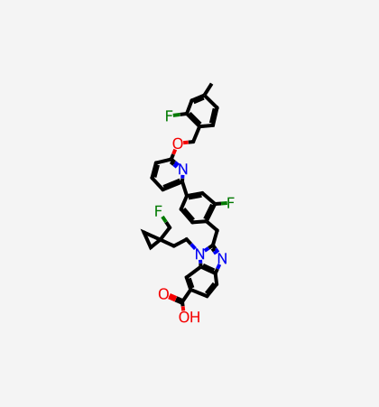 Cc1ccc(COc2cccc(-c3ccc(Cc4nc5ccc(C(=O)O)cc5n4CCC4(CF)CC4)c(F)c3)n2)c(F)c1